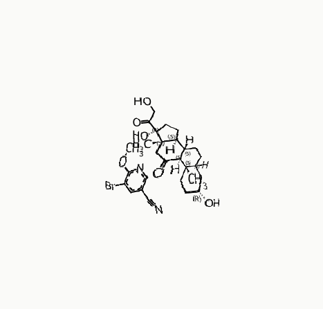 COc1ncc(C#N)cc1Br.C[C@]12CC[C@@H](O)C[C@H]1CC[C@@H]1[C@@H]2C(=O)C[C@@]2(C)[C@H]1CC[C@]2(O)C(=O)CO